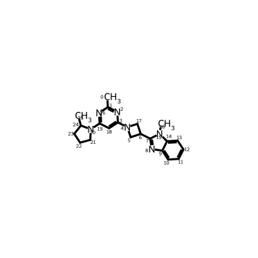 Cc1nc(N2CC(c3nc4ccccc4n3C)C2)cc(N2CCCC2C)n1